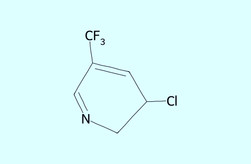 FC(F)(F)C1=CC(Cl)CN=C1